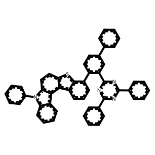 c1ccc(-c2ccc(-c3cccc4c3sc3ccc5c(c6ccccc6n5-c5ccccc5)c34)c(-c3nc(-c4ccccc4)nc(-c4ccccc4)n3)c2)cc1